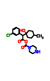 CC1CCC(O)(C(C(=O)OC(=O)N2CCNCC2)c2cccc(Cl)c2)CC1